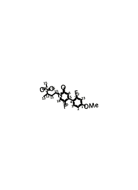 COc1ccc(-c2cc(=O)n(CCC(C)S(C)(=O)=O)cc2F)c(F)c1